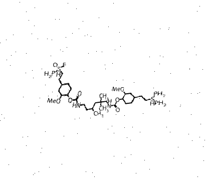 COC1CC(CC[SH](=O)(F)P)CCC1OC(=O)NCCC(C)CC(C)(C)CNC(=O)OC1CCC(CC[SH](P)P)CC1OC